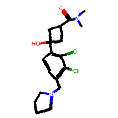 CN(C)C(=O)C1CC(O)(c2ccc(CN3CCCC3)c(Cl)c2Cl)C1